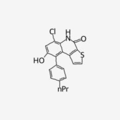 CCCc1ccc(-c2c(O)cc(Cl)c3[nH]c(=O)c4sccc4c23)cc1